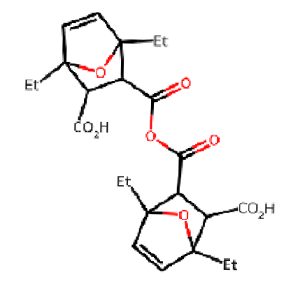 CCC12C=CC(CC)(O1)C(C(=O)OC(=O)C1C(C(=O)O)C3(CC)C=CC1(CC)O3)C2C(=O)O